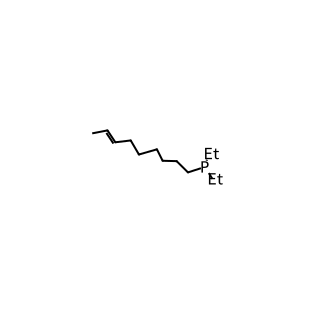 CC=CCCCCCCP(CC)CC